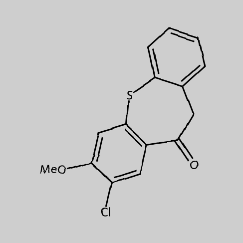 COc1cc2c(cc1Cl)C(=O)Cc1ccccc1S2